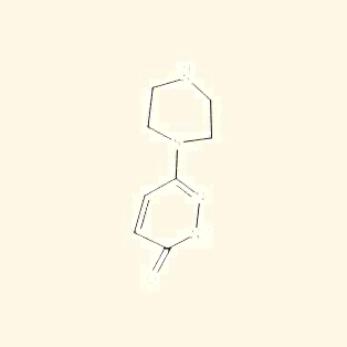 O=c1ccc(N2CCNCC2)n[nH]1